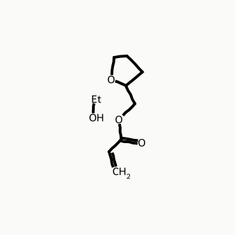 C=CC(=O)OCC1CCCO1.CCO